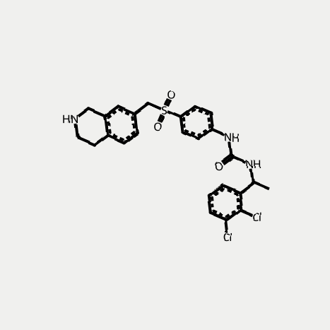 CC(NC(=O)Nc1ccc(S(=O)(=O)Cc2ccc3c(c2)CNCC3)cc1)c1cccc(Cl)c1Cl